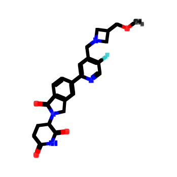 COCC1CN(Cc2cc(-c3ccc4c(c3)CN(C3CCC(=O)NC3=O)C4=O)ncc2F)C1